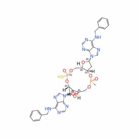 CP1(=O)OC[C@H]2O[C@@H](n3cnc4c(NCc5ccccc5)ncnc43)[C@H](O[P@@](=O)(S)OC[C@H]3O[C@@H](n4cnc5c(NCc6ccccc6)ncnc54)C[C@@H]3O1)[C@@H]2O